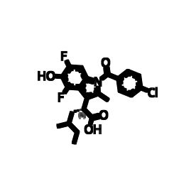 CCC(C)C[C@@H](C(=O)O)c1c(C)n(C(=O)c2ccc(Cl)cc2)c2cc(F)c(O)c(F)c12